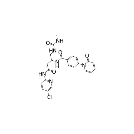 CNC(=O)NCC(CC(=O)Nc1ccc(Cl)cn1)NC(=O)c1ccc(-n2ccccc2=O)cc1